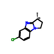 C[C@@H]1CCn2c1nc1cc(Cl)ccc12